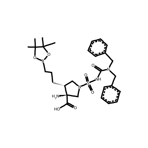 CC1(C)OB(CCC[C@@H]2CN(S(=O)(=O)NC(=O)N(Cc3ccccc3)Cc3ccccc3)C[C@]2(N)C(=O)O)OC1(C)C